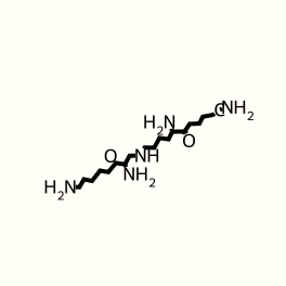 NCCCCCC(=O)C(N)CCCCNCC(N)C(=O)CCCCCN